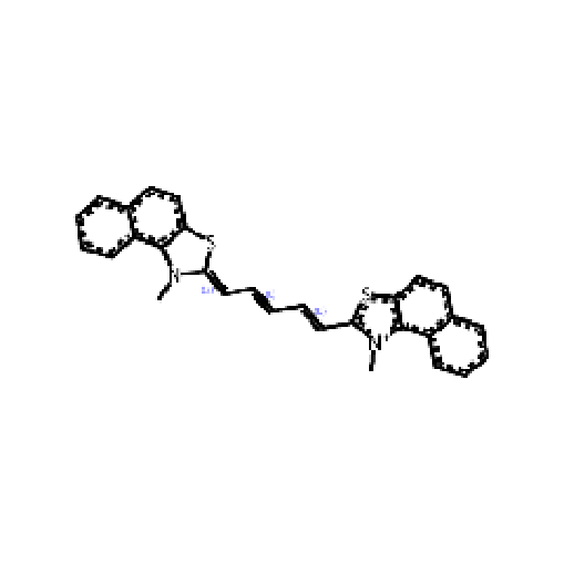 CN1/C(=C/C=C/C=C/c2sc3ccc4ccccc4c3[n+]2C)Sc2ccc3ccccc3c21